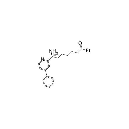 CCC(=O)CCCCC[C@H](N)c1cc(-c2ccccc2)ccn1